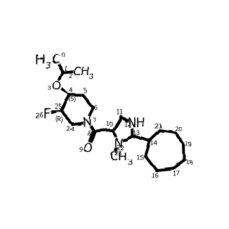 CC(C)O[C@H]1CCN(C(=O)C2CNC(C3CCCCCCC3)N2C)C[C@H]1F